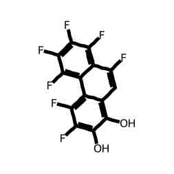 Oc1c(F)c(F)c2c(cc(F)c3c(F)c(F)c(F)c(F)c32)c1O